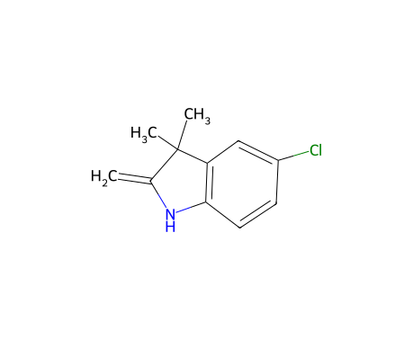 C=C1Nc2ccc(Cl)cc2C1(C)C